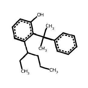 CCCC(CC)c1cccc(O)c1C(C)(C)c1ccccc1